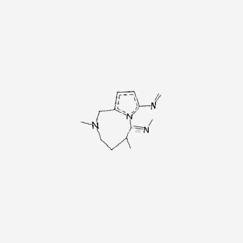 C=Nc1ccc2n1/C(=N\C)C(C)CCN(C)C2